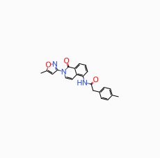 Cc1ccc(CC(=O)Nc2cccc3c(=O)n(-c4cc(C)on4)ccc23)cc1